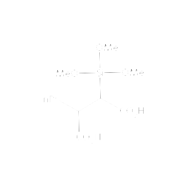 CCCC(C(=O)O)C(C(=O)O)[Si](OC)(OC)OC